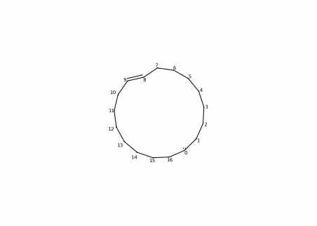 [C]1CCCCCCC/C=C/CCCCCCC1